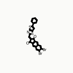 O=C1C(=Cc2nc3sc(-c4ccccc4)cc3s2)C(=O)c2cc3cc(Br)c(Br)cc3cc21